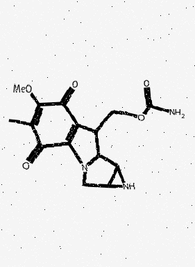 COC1=C(C)C(=O)C2=C(C1=O)C(COC(N)=O)C1C3NC3CN21